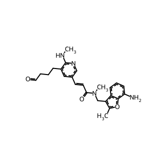 CNc1ncc(/C=C/C(=O)N(C)Cc2c(C)oc3c(N)cccc23)cc1CCCC=O